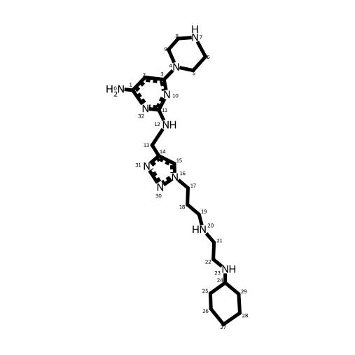 Nc1cc(N2CCNCC2)nc(NCc2cn(CCCNCCNC3CCCCC3)nn2)n1